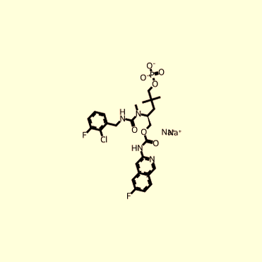 CN(C(=O)NCc1cccc(F)c1Cl)[C@H](COC(=O)Nc1cc2cc(F)ccc2cn1)CC(C)(C)COP(=O)([O-])[O-].[Na+].[Na+]